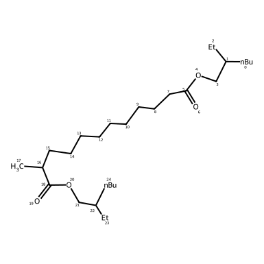 CCCCC(CC)COC(=O)CCCCCCCCCC(C)C(=O)OCC(CC)CCCC